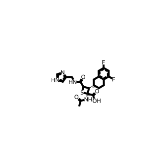 CC(=O)N[C@]1(C(=O)O)SC(C(=O)NCc2c[nH]cn2)C1[C@H]1CCc2c(F)cc(F)cc2C1